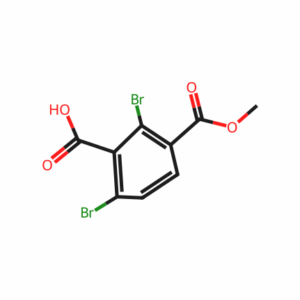 COC(=O)c1ccc(Br)c(C(=O)O)c1Br